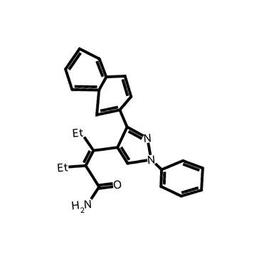 CCC(C(N)=O)=C(CC)c1cn(-c2ccccc2)nc1-c1ccc2ccccc2c1